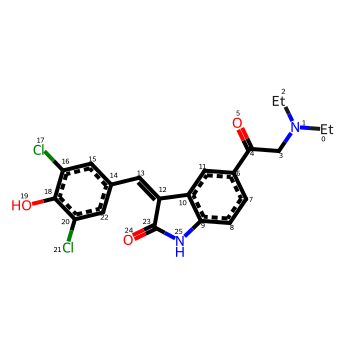 CCN(CC)CC(=O)c1ccc2c(c1)/C(=C/c1cc(Cl)c(O)c(Cl)c1)C(=O)N2